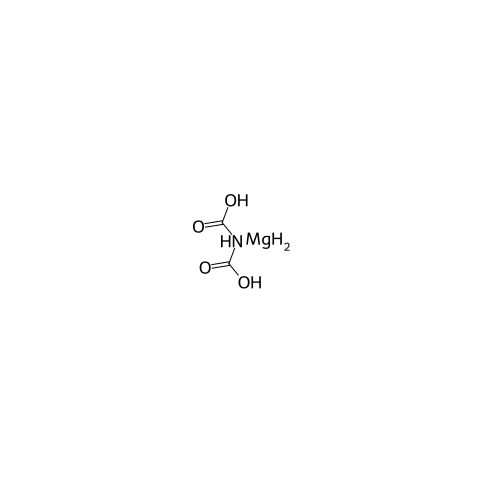 O=C(O)NC(=O)O.[MgH2]